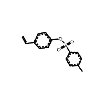 C=Cc1ccc(OS(=O)(=O)c2ccc(C)cc2)cc1